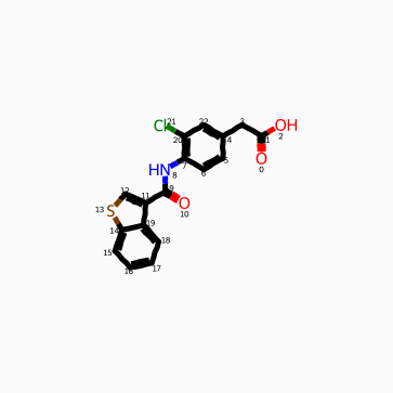 O=C(O)Cc1ccc(NC(=O)c2csc3ccccc23)c(Cl)c1